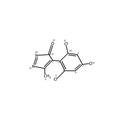 CC1=C(c2c(Cl)cc(Cl)cc2Cl)C(=O)N=N1